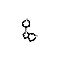 c1cc(-n2ccc3ccncc32)ccn1